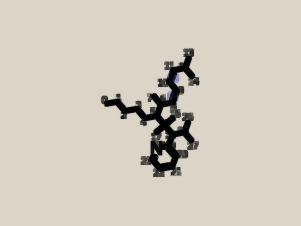 CCCCCC(C(C)/C=C\C=C/C(C)C)C(C)(C)C(c1ccccn1)C(C)C